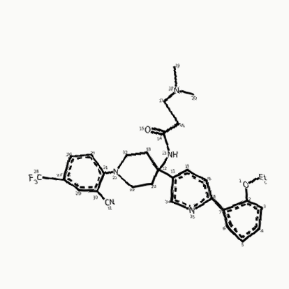 CCOc1ccccc1-c1ccc(C2(NC(=O)CCN(C)C)CCN(c3ccc(C(F)(F)F)cc3C#N)CC2)cn1